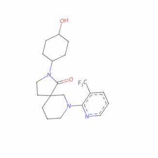 O=C1N(C2CCC(O)CC2)CCC12CCCN(c1ncccc1C(F)(F)F)C2